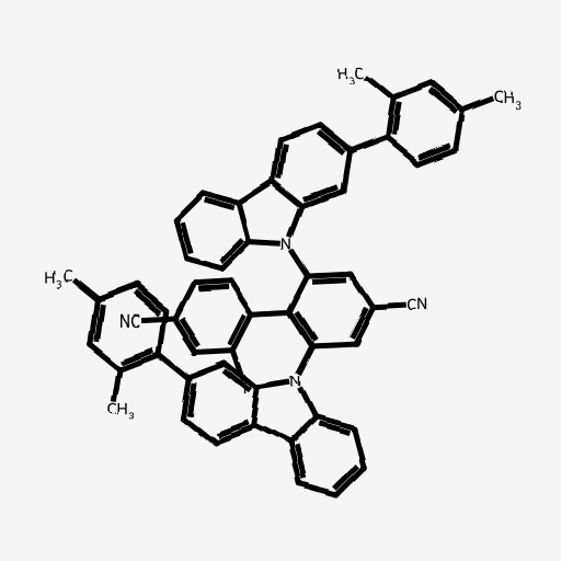 Cc1ccc(-c2ccc3c4ccccc4n(-c4cc(C#N)cc(-n5c6ccccc6c6ccc(-c7ccc(C)cc7C)cc65)c4-c4ccc(C#N)cc4F)c3c2)c(C)c1